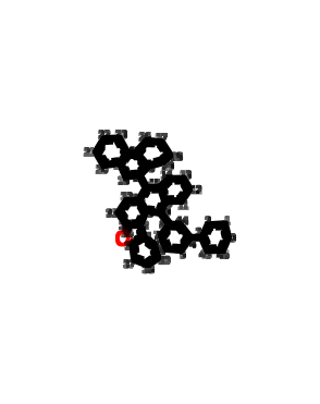 c1ccc(-c2cccc(-c3c4ccccc4c(-c4cc5ccccc5c5ccccc45)c4ccc5oc6ccccc6c5c34)c2)cc1